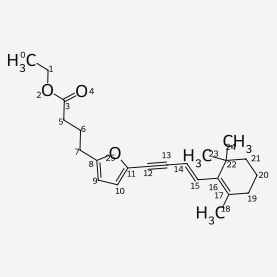 CCOC(=O)CCCc1ccc(C#CC=CC2=C(C)CCCC2(C)C)o1